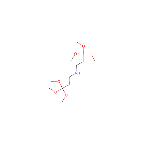 COC(CCNCCC(OC)(OC)OC)(OC)OC